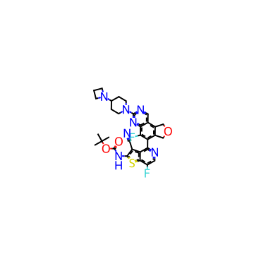 CC(C)(C)OC(=O)Nc1sc2c(F)cnc(-c3c4c(c5cnc(N6CCC(N7CCC7)CC6)nc5c3F)COC4)c2c1C#N